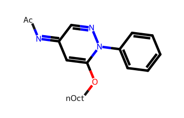 CCCCCCCCOc1c/c(=N/C(C)=O)cnn1-c1ccccc1